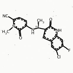 C[C@H](Nc1ccc(C#N)n(C)c1=O)c1cc2cc(Cl)c(F)cc2[nH]c1=O